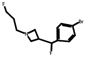 FCCCN1CC(C(F)c2ccc(Br)cc2)C1